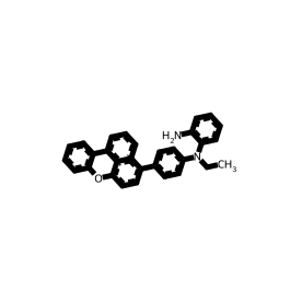 CCN(c1ccc(-c2ccc3c4c(cccc24)-c2ccccc2O3)cc1)c1ccccc1N